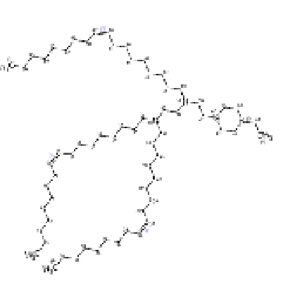 CCCCCCCC/C=C\CCCCCCCCN(CCCCCCCC/C=C\CCCCCCCC)CCN(CCCCCCCC/C=C\CCCCCCCC)CCN1CCN(CC)CC1